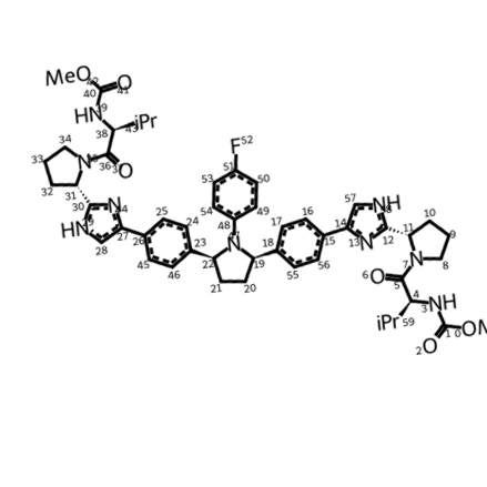 COC(=O)N[C@H](C(=O)N1CCC[C@H]1c1nc(-c2ccc([C@H]3CC[C@@H](c4ccc(-c5c[nH]c([C@@H]6CCCN6C(=O)[C@@H](NC(=O)OC)C(C)C)n5)cc4)N3c3ccc(F)cc3)cc2)c[nH]1)C(C)C